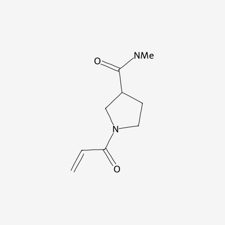 C=CC(=O)N1CCC(C(=O)NC)C1